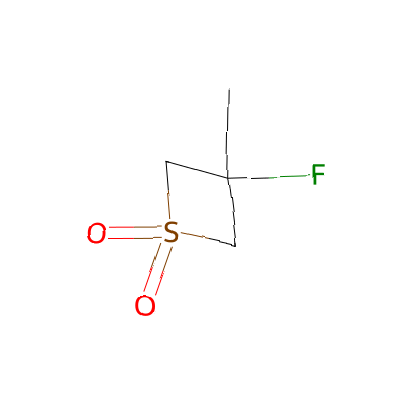 CC1(F)CS(=O)(=O)C1